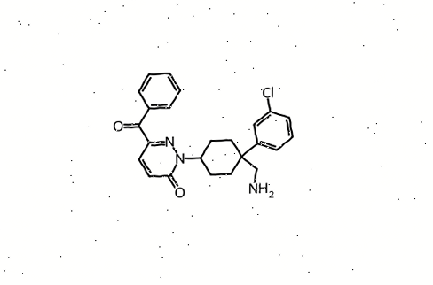 NCC1(c2cccc(Cl)c2)CCC(n2nc(C(=O)c3ccccc3)ccc2=O)CC1